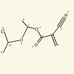 C=C(C#N)C(=O)OC(C)OC(C)Cl